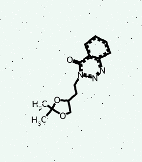 CC1(C)OCC(CCn2nnc3ccccc3c2=O)O1